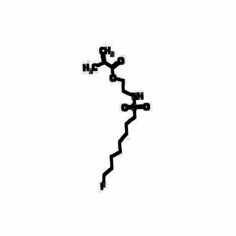 C=C(C)C(=O)OCCNS(=O)(=O)CCCCCCCCF